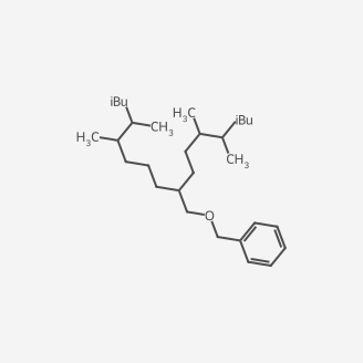 CCC(C)C(C)C(C)CCCC(CCC(C)C(C)C(C)CC)COCc1ccccc1